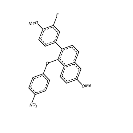 COc1ccc2c(Oc3ccc([N+](=O)[O-])cc3)c(-c3ccc(OC)c(F)c3)ccc2c1